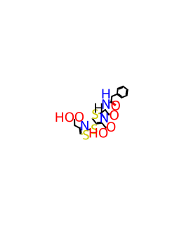 O=C(O)Cc1csc(SC2=C(C(=O)O)N3C(=O)[C@@H](NC(=O)Cc4ccccc4)[C@@H]3SC2)n1